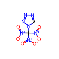 O=[N+]([O-])C(n1cnnn1)([N+](=O)[O-])[N+](=O)[O-]